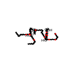 CCCCC/C=C\C/C=C\CCCCCCCCC(O)(CCCCCCCC/C=C\C/C=C\CCCCCOP(=O)(OCCN)OCCN(C)C(C)(C)CC(C)(C)CCOC(O)(CCCCCCCC/C=C\C/C=C\CCCCC)CCCCCCCC/C=C\C/C=C\CCCCC)OCCC(C)(C)CC(C)(C)N(C)CCOP(=O)(O)OC